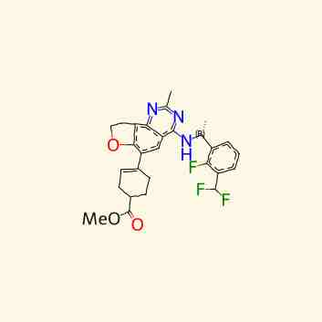 COC(=O)C1CC=C(c2cc3c(N[C@H](C)c4cccc(C(F)F)c4F)nc(C)nc3c3c2OCC3)CC1